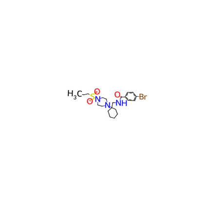 CCCS(=O)(=O)N1CCN(C2(CNC(=O)c3ccc(Br)cc3)CCCCC2)CC1